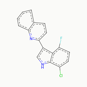 Fc1ccc(Cl)c2[nH]cc(-c3ccc4ccccc4n3)c12